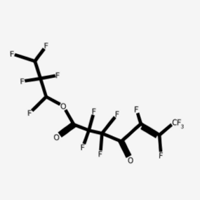 O=C(OC(F)C(F)(F)C(F)F)C(F)(F)C(F)(F)C(=O)C(F)=C(F)C(F)(F)F